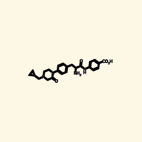 NC(Cc1ccc(N2CCN(CC3CC3)CC2=O)cc1)C(=O)Nc1ccc(C(=O)O)cc1